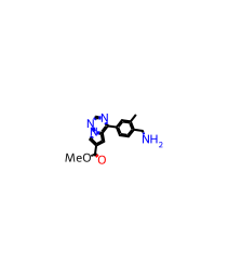 COC(=O)c1cc2c(-c3ccc(CN)c(C)c3)ncnn2c1